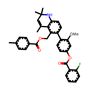 COc1cc(OC(=O)c2ccccc2F)ccc1-c1ccc2c(c1COC(=O)c1ccc(C)cc1)C(C)=CC(C)(C)N2